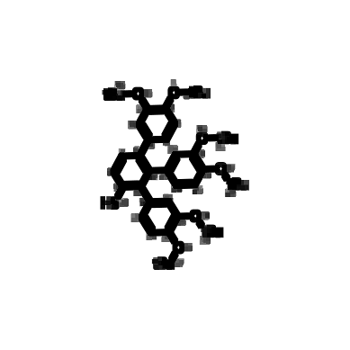 CC(C)(C)Oc1ccc(-c2ccc(S)c(-c3ccc(OC(C)(C)C)c(OC(C)(C)C)c3)c2-c2ccc(OC(C)(C)C)c(OC(C)(C)C)c2)cc1OC(C)(C)C